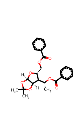 C[C@@H](OC(=O)c1ccccc1)C1[C@H]2OC(C)(C)O[C@H]2O[C@@H]1COC(=O)c1ccccc1